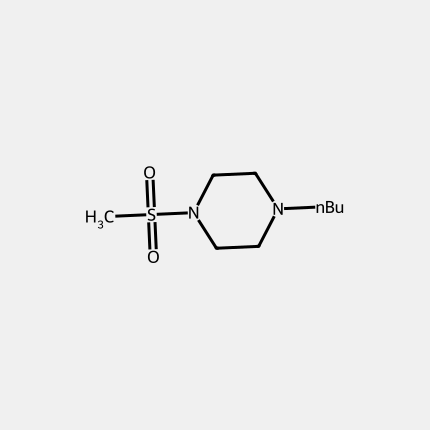 CCCCN1CCN(S(C)(=O)=O)CC1